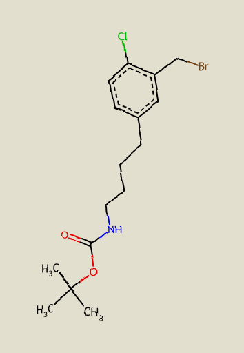 CC(C)(C)OC(=O)NCCCCc1ccc(Cl)c(CBr)c1